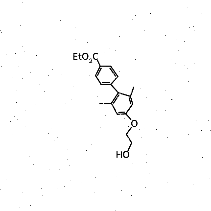 CCOC(=O)c1ccc(-c2c(C)cc(OCCO)cc2C)cc1